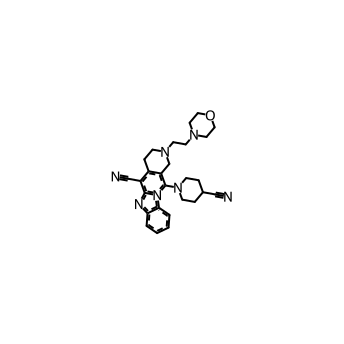 N#Cc1c2c(c(N3CCC(C#N)CC3)n3c1nc1ccccc13)CN(CCN1CCOCC1)CC2